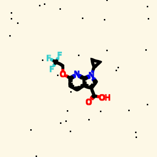 O=C(O)c1cn(C2CC2)c2nc(OCC(F)(F)F)ccc12